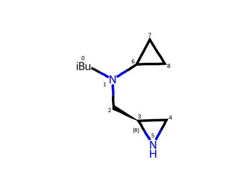 CCC(C)N(C[C@H]1CN1)C1CC1